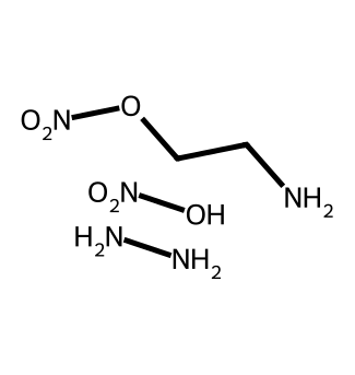 NCCO[N+](=O)[O-].NN.O=[N+]([O-])O